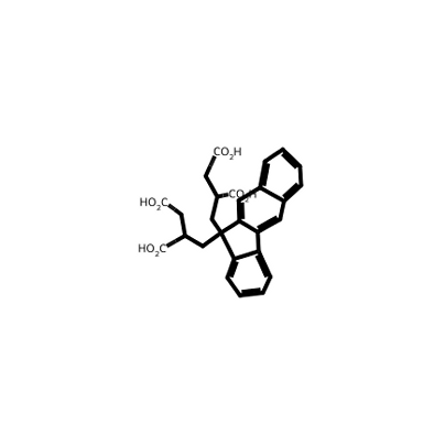 O=C(O)CC(CC1(CC(CC(=O)O)C(=O)O)c2ccccc2-c2cc3ccccc3cc21)C(=O)O